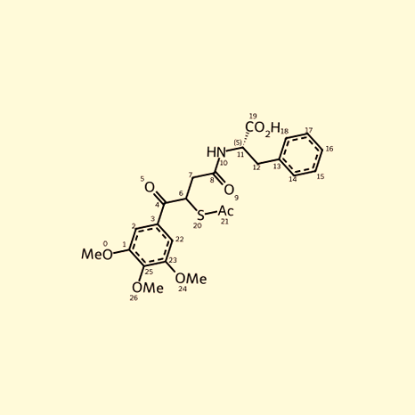 COc1cc(C(=O)C(CC(=O)N[C@@H](Cc2ccccc2)C(=O)O)SC(C)=O)cc(OC)c1OC